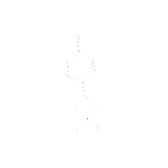 Nc1ccc(N2CC(F)(F)C2)nc1